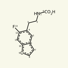 O=C(O)NCCc1cc2ccoc2cc1F